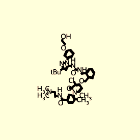 Cc1ccc(C(=O)NCCN(C)C)cc1-n1c(C)cc(OCc2ccccc2CNC(=O)Nc2cc(C(C)(C)C)nn2-c2cccc(OCCO)c2)c(Cl)c1=O